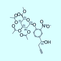 C#CC[C@H](O)c1ccc(O[C@@H]2O[C@H](C(=O)OC)[C@@H](OC(C)=O)[C@H](OC(C)=O)[C@H]2OC(C)=O)c([N+](=O)[O-])c1